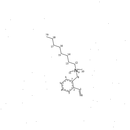 C=Cc1ccccc1C[N+](C)(C)CCCCCCCC